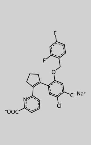 O=C([O-])c1cccc(C2=C(c3cc(Cl)c(Cl)cc3OCc3ccc(F)cc3F)CCC2)n1.[Na+]